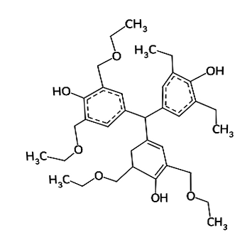 CCOCC1=C(O)C(COCC)CC(C(c2cc(CC)c(O)c(CC)c2)c2cc(COCC)c(O)c(COCC)c2)=C1